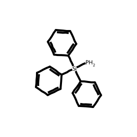 P[Si](c1ccccc1)(c1ccccc1)c1ccccc1